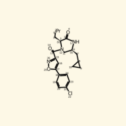 CC(C)C[C@H]1C(=O)N[C@@H](CC2CC2)CN1C(=O)c1cc(-c2ccc(Cl)cc2)on1